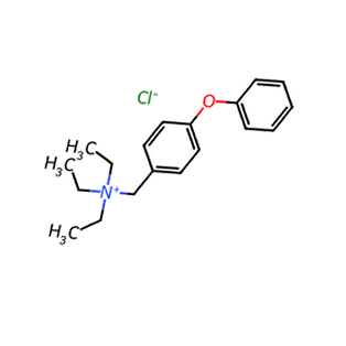 CC[N+](CC)(CC)Cc1ccc(Oc2ccccc2)cc1.[Cl-]